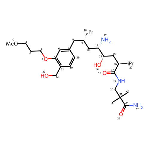 COCCCOc1cc(C[C@@H](C[C@H](N)[C@@H](O)C[C@H](C(=O)NCC(C)(C)C(N)=O)C(C)C)C(C)C)ccc1CO